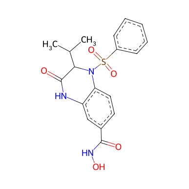 CC(C)C1C(=O)Nc2cc(C(=O)NO)ccc2N1S(=O)(=O)c1ccccc1